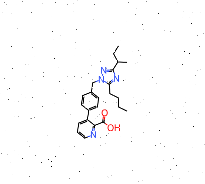 CCCCc1nc(C(C)CC)nn1Cc1ccc(-c2cccnc2C(=O)O)cc1